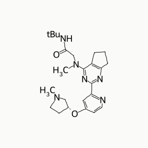 CN1CC[C@@H](Oc2ccnc(-c3nc4c(c(N(C)CC(=O)NC(C)(C)C)n3)CCC4)c2)C1